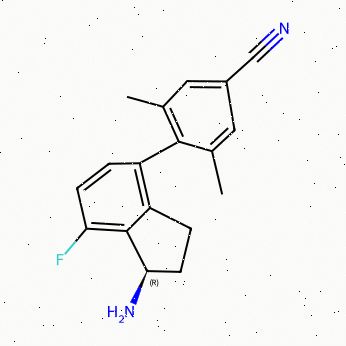 Cc1cc(C#N)cc(C)c1-c1ccc(F)c2c1CC[C@H]2N